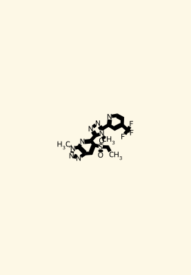 CCS(=O)(=O)c1cc2nnn(C)c2nc1-c1nnc(-c2cc(C(F)(F)F)ccn2)n1C